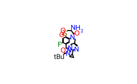 CC(C)(C)c1nnc(-c2cc3c(cc2F)S(=O)(=O)C[C@H](N)C(=O)N3Cc2cnc(C3CC3)nc2)o1